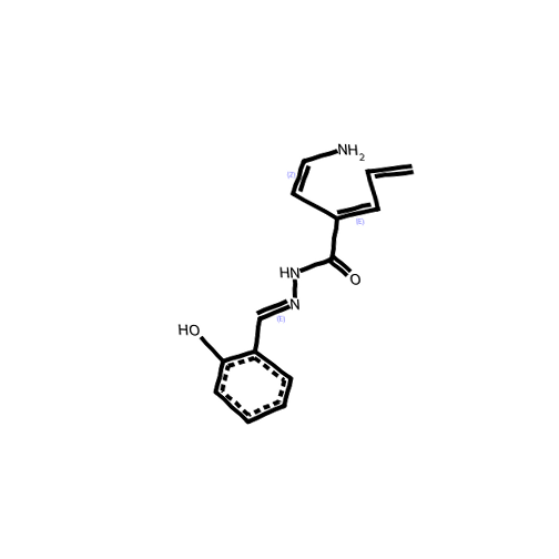 C=C/C=C(\C=C/N)C(=O)N/N=C/c1ccccc1O